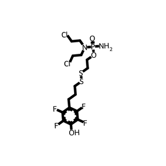 NP(=O)(OCCSSCCCc1c(F)c(F)c(O)c(F)c1F)N(CCCl)CCCl